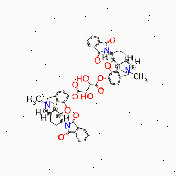 CN1CC[C@]23c4c5ccc(OC(=O)C(O)C(O)C(=O)Oc6ccc7c8c6O[C@H]6[C@H](N9C(=O)c%10ccccc%10C9=O)CC[C@H]9[C@@H](C7)N(C)CC[C@@]896)c4O[C@H]2[C@H](N2C(=O)c4ccccc4C2=O)CC[C@H]3[C@H]1C5